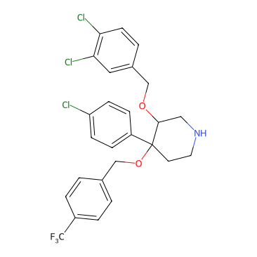 FC(F)(F)c1ccc(COC2(c3ccc(Cl)cc3)CCNCC2OCc2ccc(Cl)c(Cl)c2)cc1